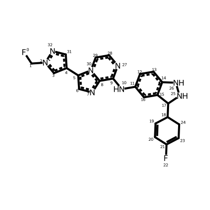 FCn1cc(-c2cnc3c(Nc4ccc5c(c4)C(C4C=CC(F)=CC4)NN5)nccn23)cn1